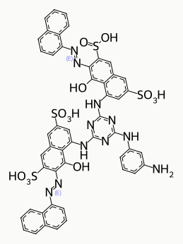 Nc1cccc(Nc2nc(Nc3cc(S(=O)(=O)O)cc4cc(S(=O)O)c(/N=N/c5cccc6ccccc56)c(O)c34)nc(Nc3cc(S(=O)(=O)O)cc4cc(S(=O)(=O)O)c(/N=N/c5cccc6ccccc56)c(O)c34)n2)c1